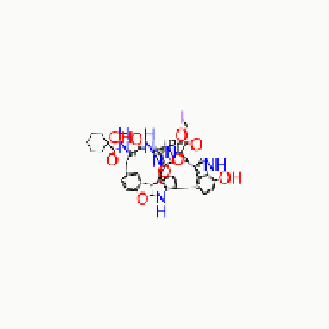 CC(C)[C@@H]1NC(=O)[C@@H](NC(=O)C2(O)CCCCC2)Cc2ccc3c(c2)C24c5cccc(c5NC2O3)-c2ccc(O)c3[nH]cc(c23)-c2oc(nc2C(=O)OCI)-c2nc1oc24